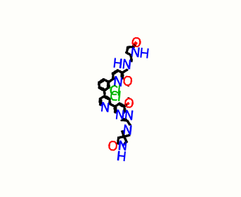 COc1nc(-c2cccc(-c3ccnc(-c4cc(OC)c5nc(CN6CC7(CNC(=O)C7)C6)cn5c4)c3Cl)c2Cl)ccc1CNCC1CCC(=O)N1